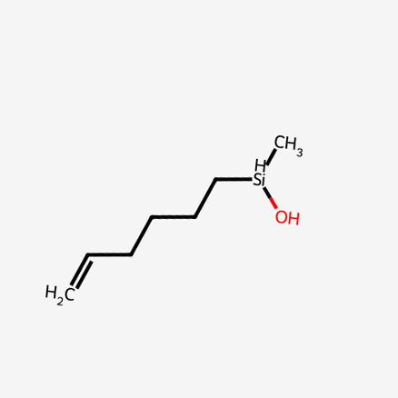 C=CCCCC[SiH](C)O